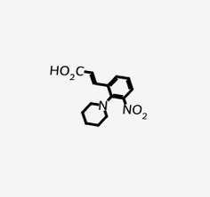 O=C(O)/C=C/c1cccc([N+](=O)[O-])c1N1CCCCC1